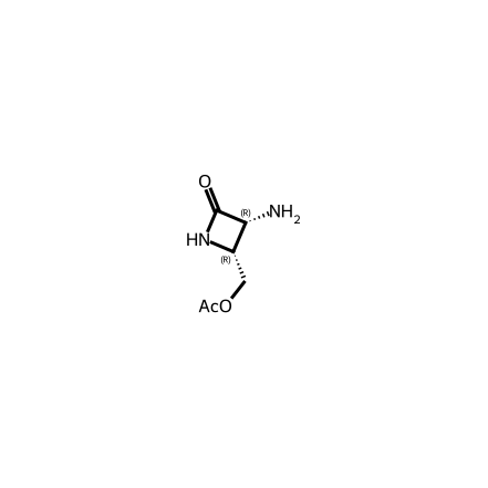 CC(=O)OC[C@@H]1NC(=O)[C@@H]1N